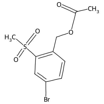 CC(=O)OCc1ccc(Br)cc1S(C)(=O)=O